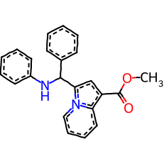 COC(=O)c1cc(C(Nc2ccccc2)c2ccccc2)n2ccccc12